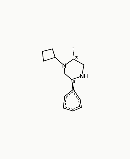 C[C@@H]1CN[C@@H](c2ccccc2)CN1C1CCC1